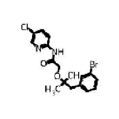 CC(C)(Cc1cccc(Br)c1)OCC(=O)Nc1ccc(Cl)cn1